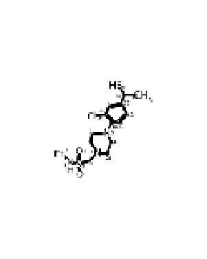 CCNS(=O)(=O)CN1CCN(c2ccc(C(C)S)cc2Cl)CC1